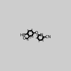 N#Cc1cccc(Oc2ccc3c(c2)COB3)n1